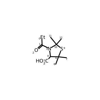 CCC(=O)N1C(C(=O)O)C(C)(C)SC1(C)C